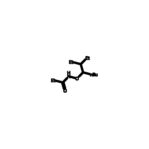 CCCCC(ONC(=O)CC)C(CC)CC